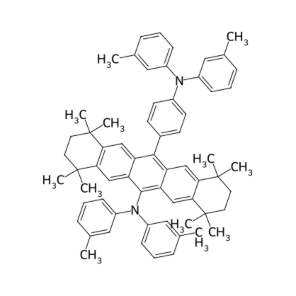 Cc1cccc(N(c2ccc(-c3c4cc5c(cc4c(N(c4cccc(C)c4)c4cccc(C)c4)c4cc6c(cc34)C(C)(C)CCC6(C)C)C(C)(C)CCC5(C)C)cc2)c2cccc(C)c2)c1